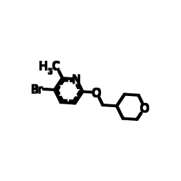 Cc1nc(OCC2CCOCC2)ccc1Br